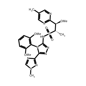 COc1cccc(OC)c1-n1c(NS(=O)(=O)[C@@H](C)[C@H](OC)c2ncc(C)cn2)nnc1-c1ncn(C)n1